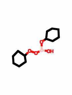 OB(OOC1CCCCC1)OC1CCCCC1